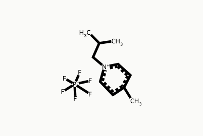 Cc1cc[n+](CC(C)C)cc1.F[P-](F)(F)(F)(F)F